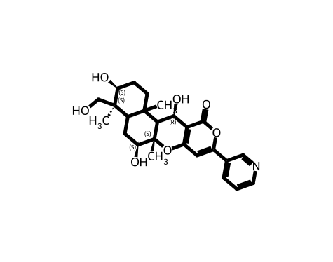 CC12CC[C@H](O)[C@](C)(CO)C1C[C@H](O)[C@@]1(C)Oc3cc(-c4cccnc4)oc(=O)c3[C@H](O)C21